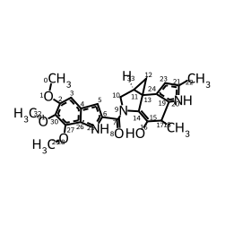 COc1cc2cc(C(=O)N3C[C@H]4CC45C3=C(O)C(C)c3[nH]c(C)cc35)[nH]c2c(OC)c1OC